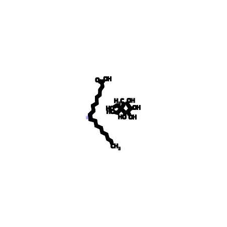 CCC(CO)(CO)CO.CCCCCCCC/C=C\CCCCCCCC(=O)O.OCC(O)CO